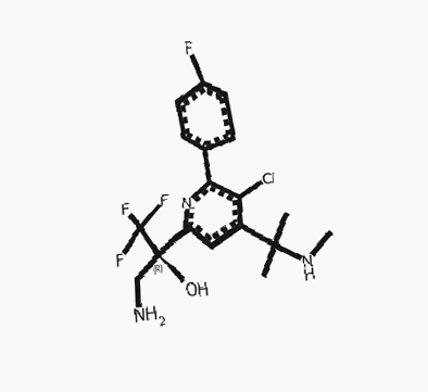 CNC(C)(C)c1cc([C@](O)(CN)C(F)(F)F)nc(-c2ccc(F)cc2)c1Cl